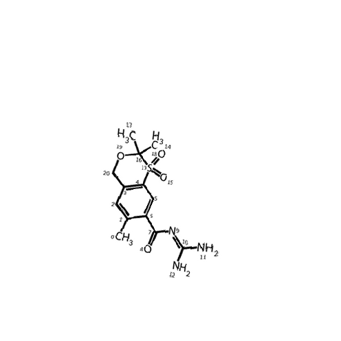 Cc1cc2c(cc1C(=O)N=C(N)N)S(=O)(=O)C(C)(C)OC2